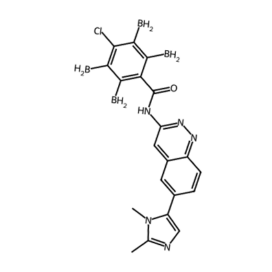 Bc1c(B)c(C(=O)Nc2cc3cc(-c4cnc(C)n4C)ccc3nn2)c(B)c(B)c1Cl